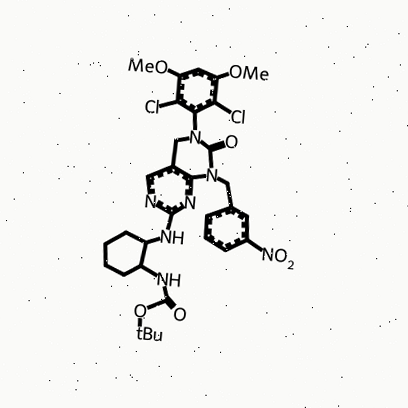 COc1cc(OC)c(Cl)c(N2Cc3cnc(NC4CCCCC4NC(=O)OC(C)(C)C)nc3N(Cc3cccc([N+](=O)[O-])c3)C2=O)c1Cl